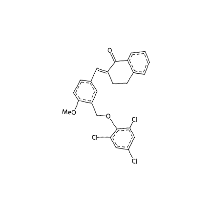 COc1ccc(/C=C2\CCc3ccccc3C2=O)cc1COc1c(Cl)cc(Cl)cc1Cl